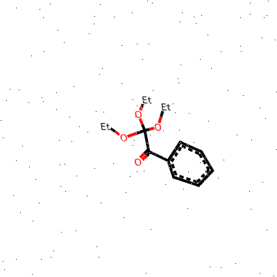 CCOC(OCC)(OCC)C(=O)c1ccccc1